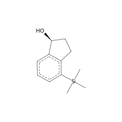 C[Si](C)(C)c1cccc2c1CC[C@@H]2O